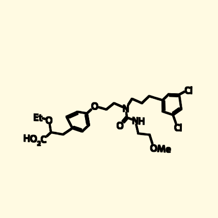 CCOC(Cc1ccc(OCCN(CCCc2cc(Cl)cc(Cl)c2)C(=O)NCCOC)cc1)C(=O)O